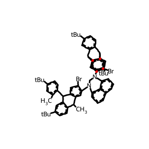 Cc1cc(C(C)(C)C)ccc1C1c2cc(C(C)(C)C)ccc2C(C)c2cc(N3CN(c4cc5c(cc4Br)C4c6ccc(C(C)(C)C)cc6C5c5ccc(C(C)(C)C)cc54)c4cccc5cccc3c45)c(Br)cc21